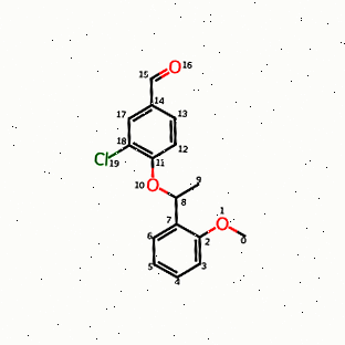 COc1ccccc1C(C)Oc1ccc(C=O)cc1Cl